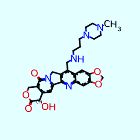 CN1CCN(CCCNCc2c3c(nc4cc5c(cc24)OCO5)-c2cc4c(c(=O)n2C3)COC(=O)[C@H]4O)CC1